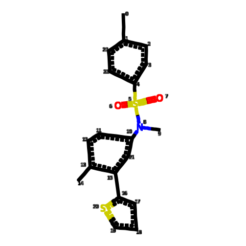 Cc1ccc(S(=O)(=O)N(C)c2ccc(C)c(-c3cccs3)c2)cc1